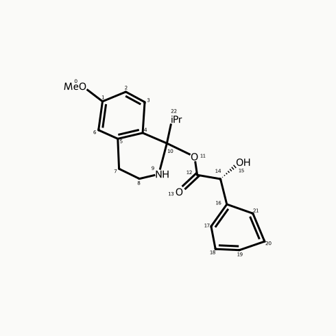 COc1ccc2c(c1)CCNC2(OC(=O)[C@H](O)c1ccccc1)C(C)C